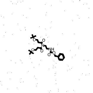 CC(C)(C)OCCC(=O)N(CCNC(=O)OCc1ccccc1)C(=O)CCOC(C)(C)C